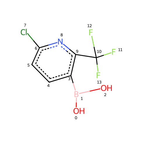 OB(O)c1ccc(Cl)nc1C(F)(F)F